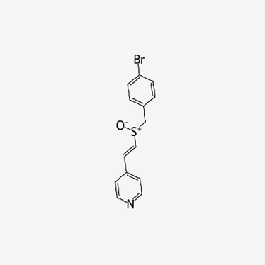 [O-][S+](/C=C/c1ccncc1)Cc1ccc(Br)cc1